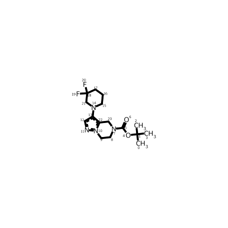 CC(C)(C)OC(=O)N1CCn2ncc(N3CCCC(F)(F)C3)c2C1